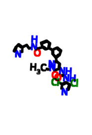 CCn1nc(-c2cccc(-c3cccc(C(=O)NCCc4cccnc4)c3)c2)cc(NC(=O)Nc2c(Cl)cncc2Cl)c1=O